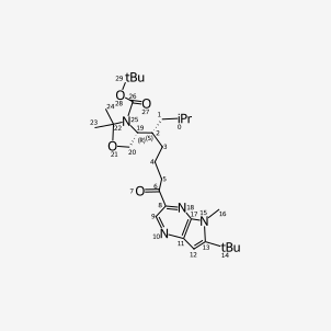 CC(C)C[C@H](CCCC(=O)c1cnc2cc(C(C)(C)C)n(C)c2n1)[C@@H]1COC(C)(C)N1C(=O)OC(C)(C)C